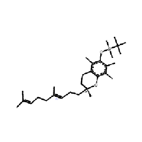 CC(C)=CCC/C(C)=C/CC[C@]1(C)CCc2c(C)c(O[Si](C)(C)C(C)(C)C)c(C)c(C)c2O1